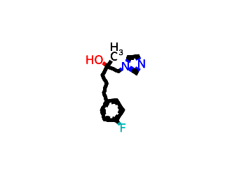 CC(O)(CCCc1ccc(F)cc1)Cn1ccnc1